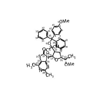 COc1ccc(C(OC(C)(C)C2C[C@@H]([C@H](C)OC)OC2n2c(=O)sc3c(C)nc(C)nc32)(c2ccccc2)c2ccccc2)cc1